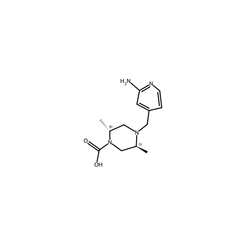 C[C@@H]1CN(Cc2ccnc(N)c2)[C@@H](C)CN1C(=O)O